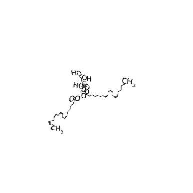 CC/C=C\C/C=C\C/C=C\C/C=C\CCCCC(=O)OC[C@H](COP(=O)(O)OC[C@@H](O)CO)OC(=O)CCCCCC/C=C\C/C=C\C/C=C\CCCCC